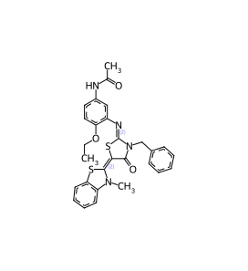 CCOc1ccc(NC(C)=O)cc1/N=C1\S/C(=C2\Sc3ccccc3N2C)C(=O)N1Cc1ccccc1